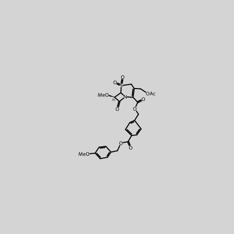 COc1ccc(COC(=O)c2ccc(COC(=O)C3=C(COC(C)=O)CS(=O)(=O)C4[C@H](OC)C(=O)N34)cc2)cc1